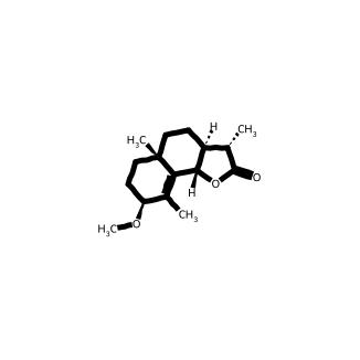 CO[C@H]1CC[C@]2(C)CC[C@H]3[C@H](C)C(=O)O[C@@H]3C2=C1C